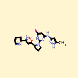 Cc1cc(Nc2cc(I)nc(N3CCCC3c3cc(-c4ccccn4)no3)n2)n[nH]1